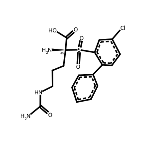 NC(=O)NCCC[C@](N)(C(=O)O)S(=O)(=O)c1cc(Cl)ccc1-c1ccccc1